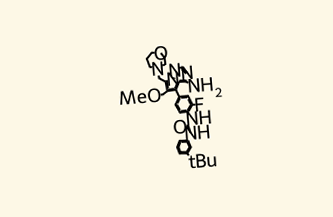 COCc1c(-c2ccc(NC(=O)Nc3cccc(C(C)(C)C)c3)c(F)c2)c2c(N)ncnn2c1CN1CCCOCC1